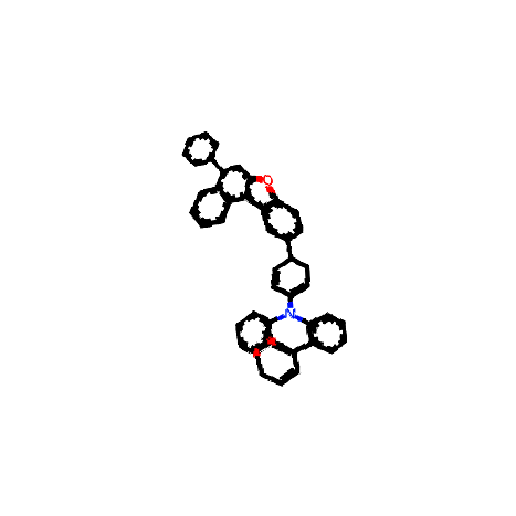 C1=CC(c2ccccc2N(C2=CCC(c3ccc4oc5cc(-c6ccccc6)c6ccccc6c5c4c3)C=C2)c2ccccc2)=CCC1